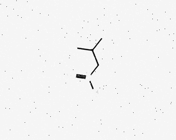 CC(C)CS(=O)O